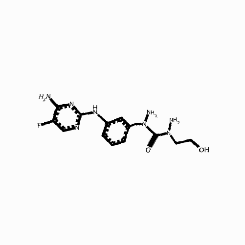 Nc1nc(Nc2cccc(N(N)C(=O)N(N)CCO)c2)ncc1F